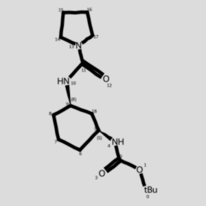 CC(C)(C)OC(=O)N[C@H]1CCC[C@@H](NC(=O)N2CCCC2)C1